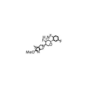 COc1nc2c(n1C)CN(C1CO[C@H](c3cc(F)ccc3F)[C@@H](N)C1F)C2